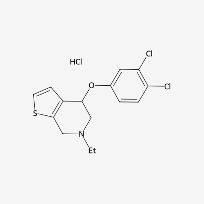 CCN1Cc2sccc2C(Oc2ccc(Cl)c(Cl)c2)C1.Cl